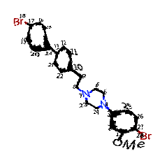 COc1cc(N2CCN(CCc3ccc(-c4ccc(Br)cc4)cc3)CC2)ccc1Br